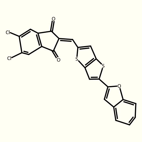 O=C1C(=Cc2cc3sc(-c4cc5ccccc5o4)cc3s2)C(=O)c2cc(Cl)c(Cl)cc21